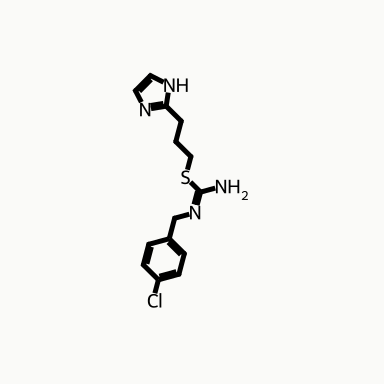 NC(=NCc1ccc(Cl)cc1)SCCCc1ncc[nH]1